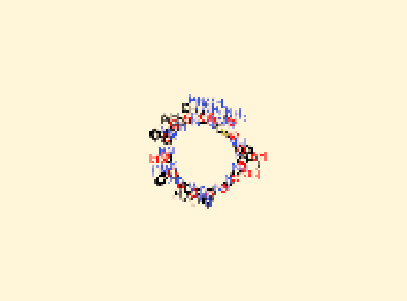 CCCC[C@H]1C(=O)N(C)[C@@H](CCCC)C(=O)N[C@@H](CCCNC(=N)N)C(=O)N[C@H](C(=O)NCC(N)=O)CSCC(=O)N[C@@H](Cc2ccc(O)cc2)C(=O)N(C)[C@@H](C)C(=O)N[C@@H](CC(=O)O)C(=O)N2CCC[C@H]2C(=O)N[C@@H](Cc2cnc[nH]2)C(=O)N[C@@H](CC(C)C)C(=O)N2CCC[C@H]2C(=O)N[C@@H](Cc2c[nH]c3ccccc23)C(=O)N[C@@H](CO)C(=O)N[C@@H](Cc2c[nH]c3ccccc23)C(=O)N1C